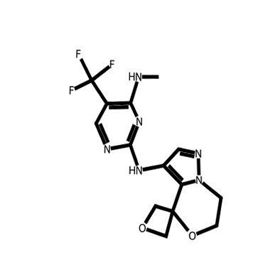 CNc1nc(Nc2cnn3c2C2(COC2)OCC3)ncc1C(F)(F)F